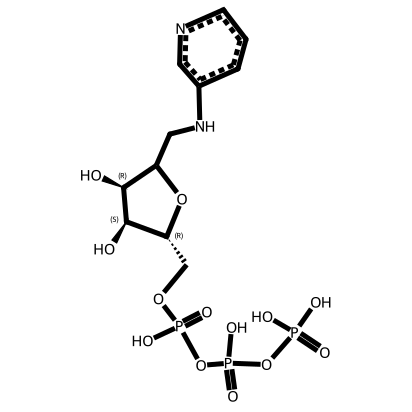 O=P(O)(O)OP(=O)(O)OP(=O)(O)OC[C@H]1OC(CNc2cccnc2)[C@H](O)[C@@H]1O